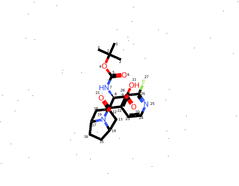 CC(C)(C)OC(=O)N[C@@H](C(=O)O)C1CC2CCC(C1)N2C(=O)c1ccnc(F)c1